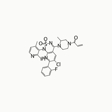 C=CC(=O)N1CCN(C2=NS(=O)(=O)N(c3c(C)ccnc3C(C)C)c3nc(-c4ccccc4F)c(Cl)cc32)C(C)C1